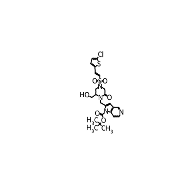 CC(C)(C)OC(=O)n1c(CN2C(=O)CN(S(=O)(=O)C=Cc3ccc(Cl)s3)CC2CO)cc2cnccc21